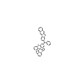 c1ccc(N(c2ccc3c(c2)Sc2ccccc2C32c3ccccc3-c3cccc4cccc2c34)c2ccc3c(c2)sc2cc4ccccc4cc23)cc1